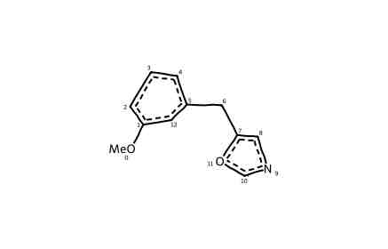 COc1cccc(Cc2cn[c]o2)c1